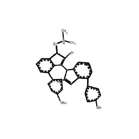 CC1=Cc2c(-c3ccc(C(C)(C)C)cc3)cccc2C1C1=C(C(C)C)[CH]([Zr][SiH](C)C)c2cccc(-c3ccc(C(C)(C)C)cc3)c21